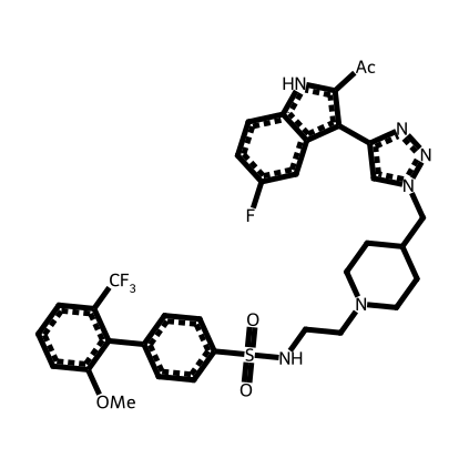 COc1cccc(C(F)(F)F)c1-c1ccc(S(=O)(=O)NCCN2CCC(Cn3cc(-c4c(C(C)=O)[nH]c5ccc(F)cc45)nn3)CC2)cc1